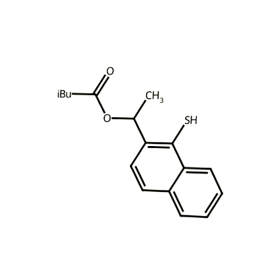 CCC(C)C(=O)OC(C)c1ccc2ccccc2c1S